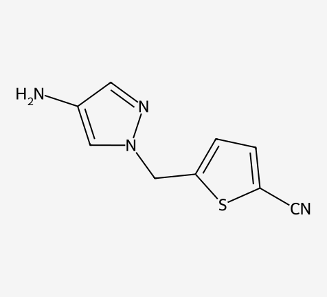 N#Cc1ccc(Cn2cc(N)cn2)s1